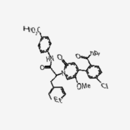 C/C=C(\C=C/CC)CC(C(=O)Nc1ccc(C(=O)O)cc1)n1cc(OC)c(-c2cc(Cl)ccc2C(=O)CCC)cc1=O